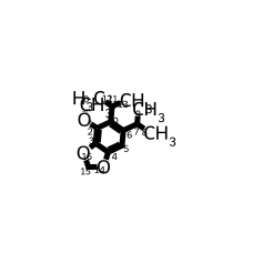 COc1c2c(cc(C(C)C)c1C(C)C)OCO2